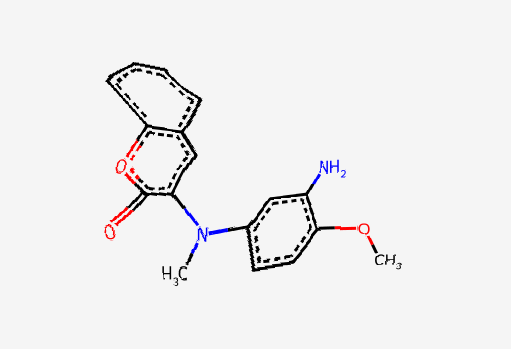 COc1ccc(N(C)c2cc3ccccc3oc2=O)cc1N